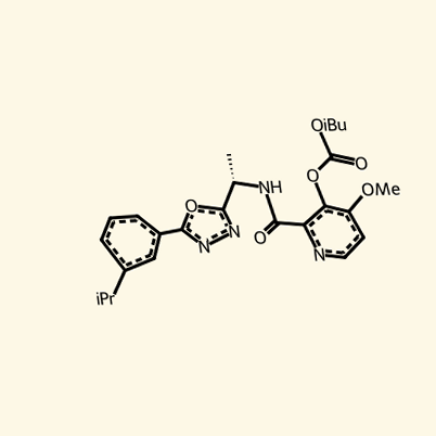 COc1ccnc(C(=O)N[C@@H](C)c2nnc(-c3cccc(C(C)C)c3)o2)c1OC(=O)OCC(C)C